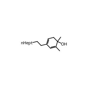 CCCCCCCCCC1=CCC(C)(O)C(C)=C1